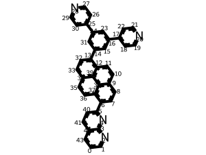 c1cnc2nc(-c3ccc4ccc5c(-c6cc(-c7ccncc7)cc(-c7ccncc7)c6)ccc6ccc3c4c65)ccc2c1